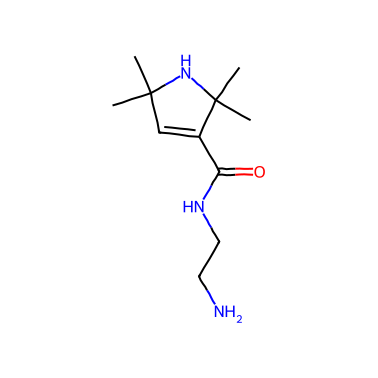 CC1(C)C=C(C(=O)NCCN)C(C)(C)N1